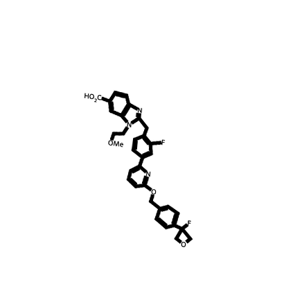 COCCn1c(Cc2ccc(-c3cccc(OCc4ccc(C5(F)COC5)cc4)n3)cc2F)nc2ccc(C(=O)O)cc21